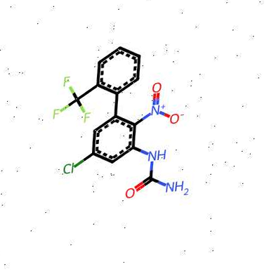 NC(=O)Nc1cc(Cl)cc(-c2ccccc2C(F)(F)F)c1[N+](=O)[O-]